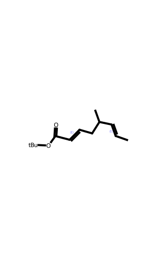 C/C=C/C(C)C/C=C/C(=O)OC(C)(C)C